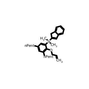 C=CCOc1c(CCCCC)cc(CCCCC)cc1[Si](C)(C)C1=Cc2ccccc2C1